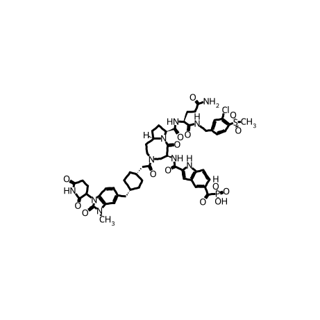 Cn1c(=O)n(C2CCC(=O)NC2=O)c2ccc(C[C@H]3CC[C@@H](CC(=O)N4CC[C@H]5CC[C@@H](C(=O)N[C@@H](CCC(N)=O)C(=O)NCc6ccc(S(C)(=O)=O)c(Cl)c6)N5C(=O)[C@@H](NC(=O)c5cc6cc(C(=O)P(=O)(O)O)ccc6[nH]5)C4)CC3)cc21